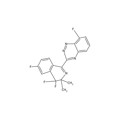 CC1(C)N=C(c2nnc3c(F)cccc3n2)c2ccc(F)cc2C1(F)F